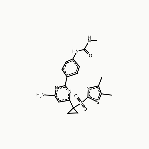 CNC(=O)Nc1ccc(-c2nc(N)cc(C3(S(=O)(=O)c4nc(C)c(C)s4)CC3)n2)cc1